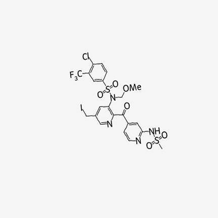 COCN(c1cc(CI)cnc1C(=O)c1ccnc(NS(C)(=O)=O)c1)S(=O)(=O)c1ccc(Cl)c(C(F)(F)F)c1